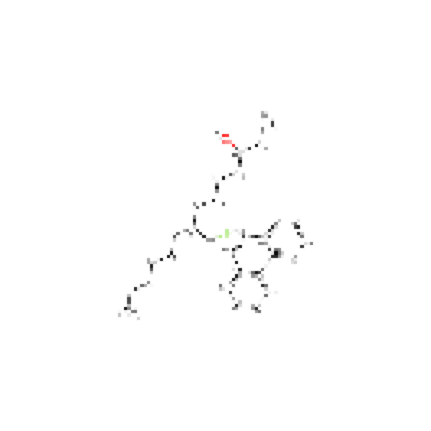 CCCCCCC(CF)CCCCC([O])CC.c1ccc2c(c1)ccc1ccccc12